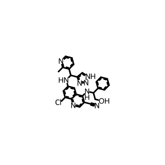 Cc1ncccc1C(Nc1cc(Cl)c2ncc(C#N)c(NC(CO)c3ccccc3)c2c1)c1c[nH]nn1